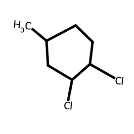 CC1CCC(Cl)C(Cl)C1